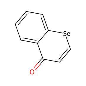 O=c1cc[se]c2ccccc12